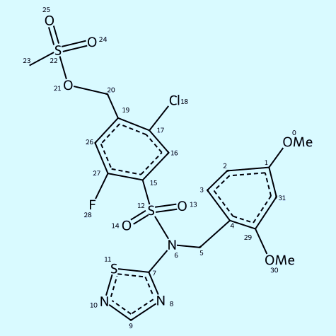 COc1ccc(CN(c2ncns2)S(=O)(=O)c2cc(Cl)c(COS(C)(=O)=O)cc2F)c(OC)c1